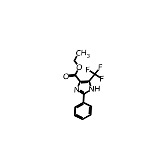 CCOC(=O)c1nc(-c2ccccc2)[nH]c1C(F)(F)F